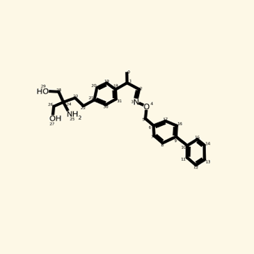 CC(C=NOCc1ccc(-c2ccccc2)cc1)c1ccc(CCC(N)(CO)CO)cc1